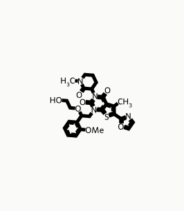 COc1ccccc1C(Cn1c(=O)n(C2CCCN(C)C2=O)c(=O)c2c(C)c(-c3ncco3)sc21)OCCO